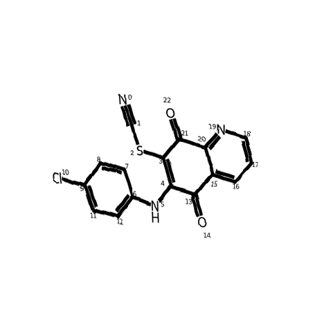 N#CSC1=C(Nc2ccc(Cl)cc2)C(=O)c2cccnc2C1=O